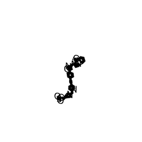 C[C@H](OC1CCCCO1)c1nccn1Cc1cc(-c2ccc(C#Cc3ccc(CN4CC5C(COS(C)(=O)=O)C5C4)nc3)cc2)on1